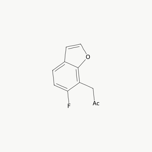 CC(=O)Cc1c(F)ccc2ccoc12